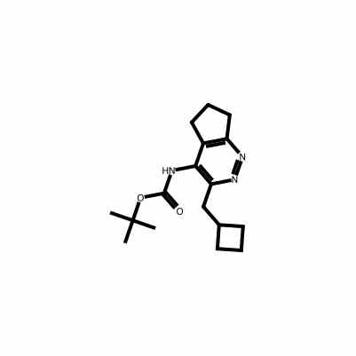 CC(C)(C)OC(=O)Nc1c(CC2CCC2)nnc2c1CCC2